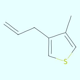 C=CCc1cscc1C